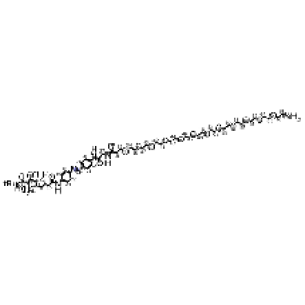 CC(C)(C)OC(=O)N[C@@H](C[C@H](CCCC(=O)Nc1ccc(/N=N/c2ccc(NC(=O)CNC(=O)CCOCCOCCOCCOCCOCCOCCOCCOCCOCCOCCOCCOCCN)cc2)cc1)C(=O)O)C(=O)O